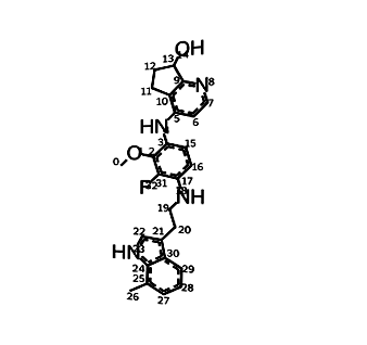 COc1c(Nc2ccnc3c2CCC3O)ccc(NCCc2c[nH]c3c(C)cccc23)c1F